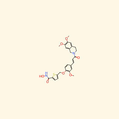 COc1cc2c(cc1OC)CN(C(=O)C=Cc1ccc(OCc3ccc(C(=O)NO)s3)c(OC)c1)CC2